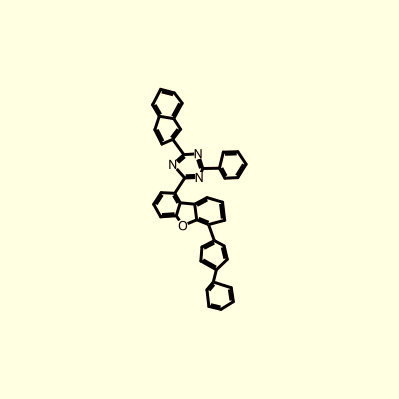 c1ccc(-c2ccc(-c3cccc4c3oc3cccc(-c5nc(-c6ccccc6)nc(-c6ccc7ccccc7c6)n5)c34)cc2)cc1